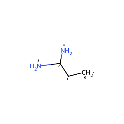 [CH2]CC(N)N